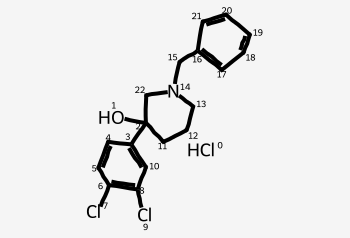 Cl.OC1(c2ccc(Cl)c(Cl)c2)CCCN(Cc2ccccc2)C1